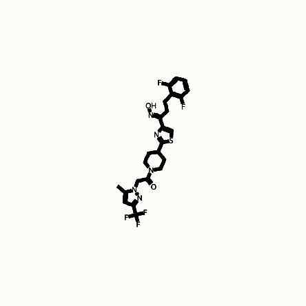 Cc1cc(C(F)(F)F)nn1CC(=O)N1CCC(c2nc(C(CCc3c(F)cccc3F)=NO)cs2)CC1